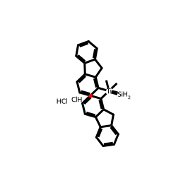 Cl.Cl.[CH3][Ti]([CH3])(=[SiH2])([c]1cccc2c1Cc1ccccc1-2)[c]1cccc2c1Cc1ccccc1-2